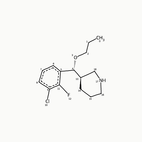 CCCO[C@@H](c1cccc(Cl)c1F)[C@@H]1CCCNC1